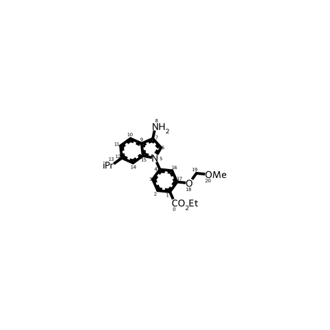 CCOC(=O)c1ccc(-n2cc(N)c3ccc(C(C)C)cc32)cc1OCOC